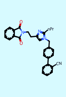 CCCc1nc(CCN2C(=O)c3ccccc3C2=O)cn1Cc1ccc(-c2ccccc2C#N)cc1